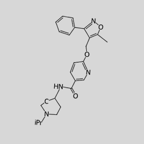 Cc1onc(-c2ccccc2)c1COc1ccc(C(=O)NC2CCN(C(C)C)CC2)cn1